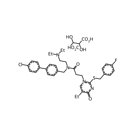 CCc1cn(CCC(=O)N(CCN(CC)CC)Cc2ccc(-c3ccc(Cl)cc3)cc2)c(SCc2ccc(F)cc2)nc1=O.O=C(O)C(O)C(O)C(=O)O